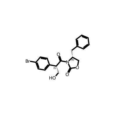 O=C1OC[C@@H](Cc2ccccc2)N1C(=O)[C@H](CO)c1ccc(Br)cc1